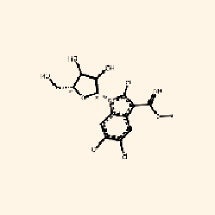 COC(=N)c1c(Cl)n([C@@H]2O[C@H](CO)C(O)C2O)c2cc(Cl)c(Cl)cc12